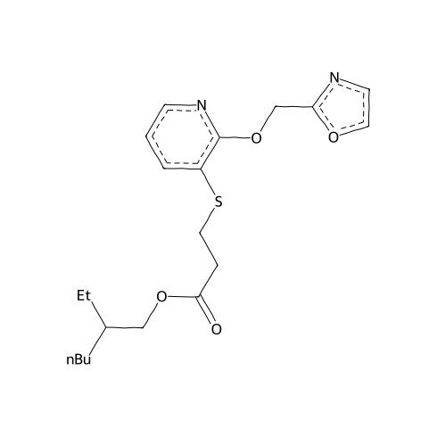 CCCCC(CC)COC(=O)CCSc1cccnc1OCc1ncco1